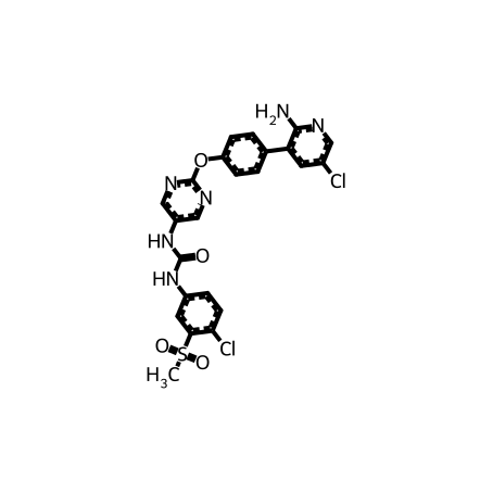 CS(=O)(=O)c1cc(NC(=O)Nc2cnc(Oc3ccc(-c4cc(Cl)cnc4N)cc3)nc2)ccc1Cl